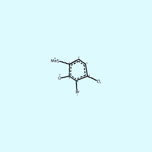 CSc1ccc(Cl)c(Br)c1Cl